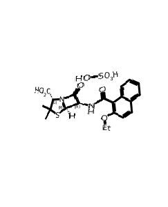 CCOc1ccc2ccccc2c1C(=O)N[C@@H]1C(=O)N2[C@@H]1SC(C)(C)[C@@H]2C(=O)O.O=S(=O)(O)O